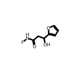 O=C(CC(O)c1ccco1)NF